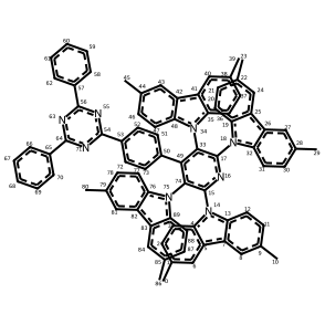 Cc1ccc2c(c1)c1cc(C)ccc1n2-c1nc(-n2c3ccc(C)cc3c3cc(C)ccc32)c(-n2c3ccc(C)cc3c3cc(C)ccc32)c(-c2ccc(-c3nc(-c4ccccc4)nc(-c4ccccc4)n3)cc2)c1-n1c2ccc(C)cc2c2cc(C)ccc21